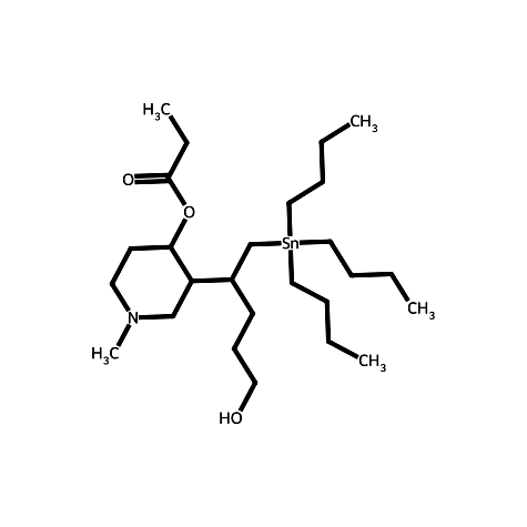 CCC[CH2][Sn]([CH2]CCC)([CH2]CCC)[CH2]C(CCCO)C1CN(C)CCC1OC(=O)CC